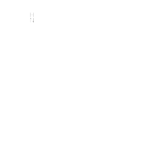 CCc1cccc(CCCC2=CCNCC2)c1